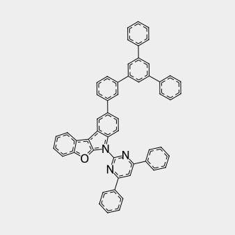 c1ccc(-c2cc(-c3ccccc3)cc(-c3cccc(-c4ccc5c(c4)c4c6ccccc6oc4n5-c4nc(-c5ccccc5)cc(-c5ccccc5)n4)c3)c2)cc1